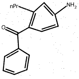 CCCc1cc(N)ccc1C(=O)c1ccccc1